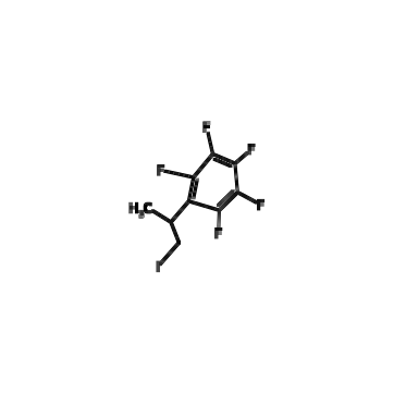 CC(CI)c1c(F)c(F)c(F)c(F)c1F